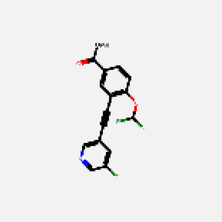 COC(=O)c1ccc(OC(F)F)c(C#Cc2cncc(F)c2)c1